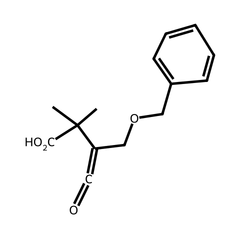 CC(C)(C(=O)O)C(=C=O)COCc1ccccc1